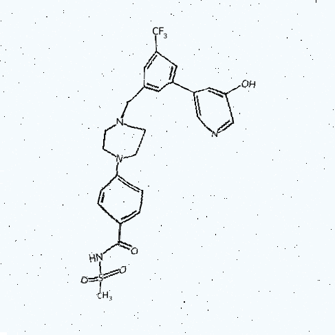 CS(=O)(=O)NC(=O)c1ccc(N2CCN(Cc3cc(-c4cncc(O)c4)cc(C(F)(F)F)c3)CC2)cc1